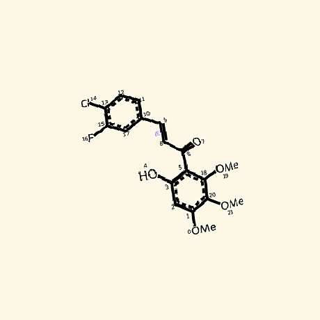 COc1cc(O)c(C(=O)/C=C/c2ccc(Cl)c(F)c2)c(OC)c1OC